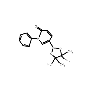 CC1(C)OB(c2ccc(=O)n(-c3ccccc3)c2)OC1(C)C